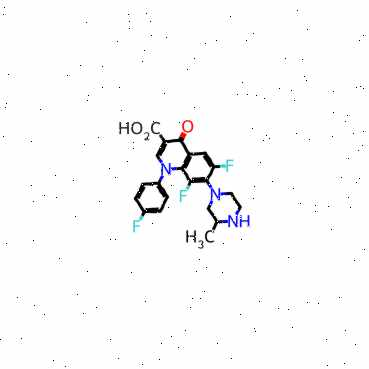 CC1CN(c2c(F)cc3c(=O)c(C(=O)O)cn(-c4ccc(F)cc4)c3c2F)CCN1